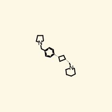 c1cc([C@H]2C[C@@H](CN3CCCCC3)C2)ccc1CN1CCCC1